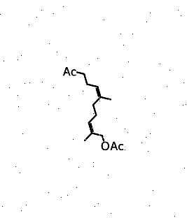 CC(=O)CCC=C(C)CCC=C(C)COC(C)=O